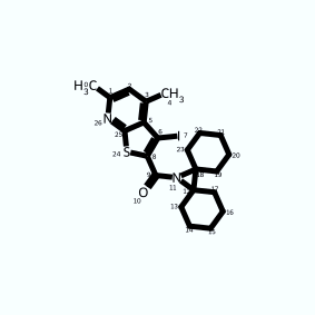 Cc1cc(C)c2c(I)c(C(=O)N3C4(CCCCC4)C34CCCCC4)sc2n1